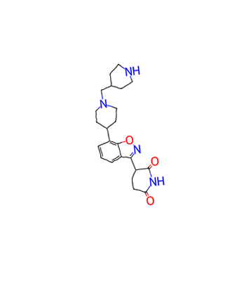 O=C1CCC(c2noc3c(C4CCN(CC5CCNCC5)CC4)cccc23)C(=O)N1